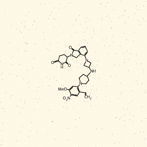 C=Cc1cc([N+](=O)[O-])c(OC)cc1N1CCC(NC2CN(c3cccc4c3CN(C3CCC(=O)NC3=O)C4=O)C2)CC1